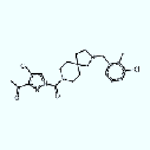 CC(=O)c1nn(C(=O)N2CCC3(CCN(Cc4cccc(Cl)c4C)C3)CC2)cc1Cl